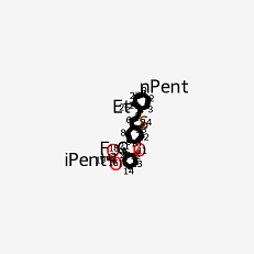 CCCCCc1ccc(-c2cc3ccc(OC4CCC(OC(=O)C(C)CCC)C4C(F)(F)F)cc3s2)c(CC)c1